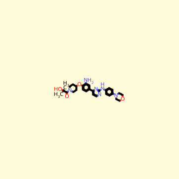 CC(C)(O)C(=O)N1CCC(Oc2ccc(-c3ccnc(Nc4ccc(N5CCOCC5)cc4)n3)cc2N)CC1